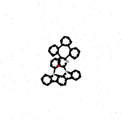 c1ccc(-n2c3ccccc3c3ccc4c5ccccc5n(-c5cnc6c(n5)-c5ccccc5-c5ccccc5-c5ccccc5-6)c4c32)cc1